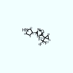 FC(F)(F)C1(c2nc([C@H]3CCNC3)no2)CC1